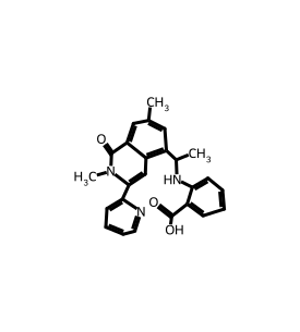 Cc1cc(C(C)Nc2ccccc2C(=O)O)c2cc(-c3ccccn3)n(C)c(=O)c2c1